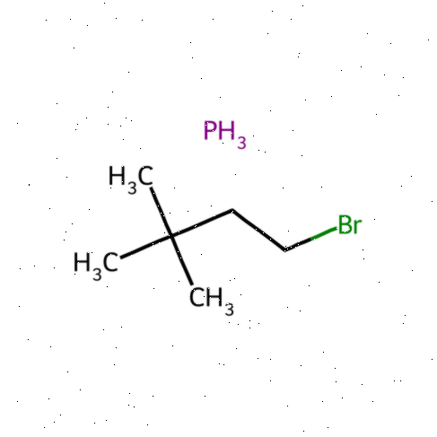 CC(C)(C)CCBr.P